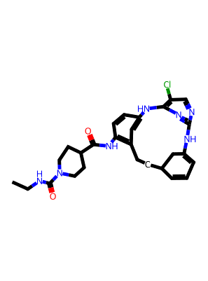 CCNC(=O)N1CCC(C(=O)Nc2ccc3cc2CCC2C=CC=C(C2)Nc2ncc(Cl)c(n2)N3)CC1